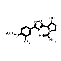 CCCCCCCCOc1ccc(-c2noc(C3[C@@H](O)CCN3C(=N)N)n2)cc1C(F)(F)F